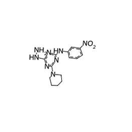 NNc1nc(Nc2cccc([N+](=O)[O-])c2)nc(N2CCCCC2)n1